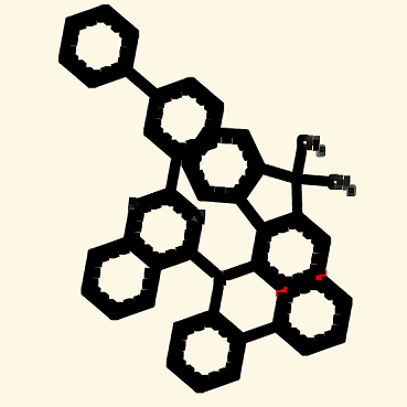 CC1(C)c2ccccc2-c2c(N(c3ccccc3-c3ccccc3)c3nc(-c4cccc(-c5ccccc5)c4)nc4ccccc34)cccc21